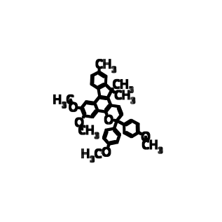 COc1ccc(C2(c3ccc(OC)cc3)C=Cc3c4c(c5cc(OC)c(OC)cc5c3O2)-c2ccc(C)cc2C4(C)C)cc1